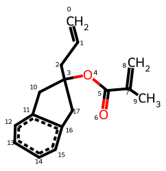 C=CCC1(OC(=O)C(=C)C)Cc2ccccc2C1